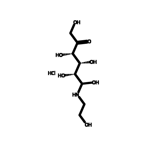 Cl.O=C(CO)[C@@H](O)[C@H](O)[C@@H](O)C(O)NCCO